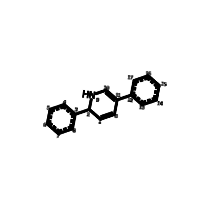 C1=CC(c2ccccc2)NC=C1c1ccccc1